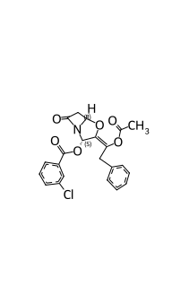 CC(=O)OC(Cc1ccccc1)=C1O[C@@H]2CC(=O)N2[C@H]1OC(=O)c1cccc(Cl)c1